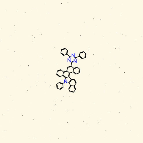 c1ccc(-c2nc(-c3ccccc3)nc(-c3cc4c5ccccc5c5c(c6ccc7ccccc7c6n5-c5ccccc5)c4c4ccccc34)n2)cc1